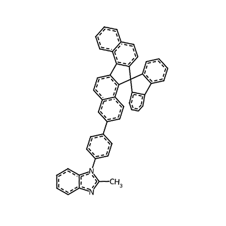 Cc1nc2ccccc2n1-c1ccc(-c2ccc3c4c(ccc3c2)-c2c(ccc3ccccc23)C42c3ccccc3-c3ccccc32)cc1